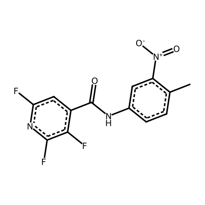 Cc1ccc(NC(=O)c2cc(F)nc(F)c2F)cc1[N+](=O)[O-]